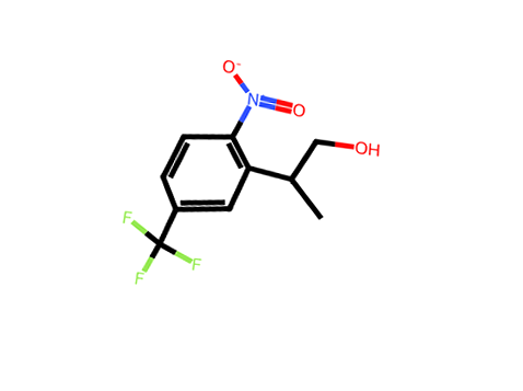 C[C](CO)c1cc(C(F)(F)F)ccc1[N+](=O)[O-]